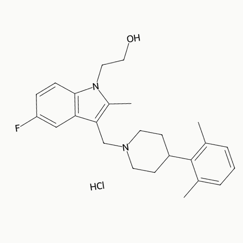 Cc1cccc(C)c1C1CCN(Cc2c(C)n(CCO)c3ccc(F)cc23)CC1.Cl